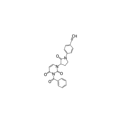 C#Cc1ccc(N2CCC(n3ccc(=O)n(C(=O)c4ccccc4)c3=O)C2=O)cc1